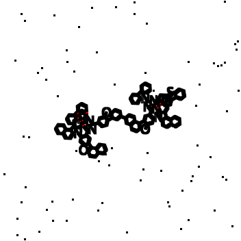 c1ccc2cc3c(cc2c1)c1c2ccccc2ccc1n3-c1cc2oc3ccc4ccccc4c3c2cc1-c1nc(-c2ccc3c(c2)oc2ccc(-c4ccc5c(ccc6oc7cc(-n8c9cc%10ccccc%10cc9c9c%10ccccc%10ccc98)c(-c8nc(-c9ccc%10c(c9)sc9ccccc9%10)nc(-n9c%10ccccc%10c%10ccccc%109)n8)cc7c65)c4)cc23)nc(-n2c3ccccc3c3ccccc32)n1